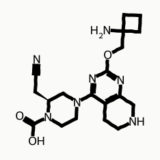 N#CC[C@H]1CN(c2nc(OCC3(N)CCC3)nc3c2CCNC3)CCN1C(=O)O